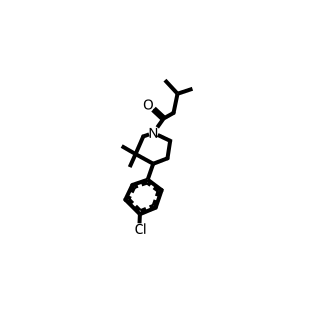 CC(C)CC(=O)N1CCC(c2ccc(Cl)cc2)C(C)(C)C1